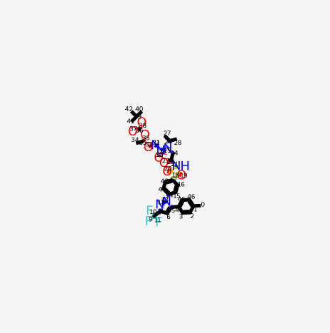 Cc1ccc(-c2cc(C(F)(F)F)nn2-c2ccc(S(=O)(=O)NC(=O)CN(C(C)C)/[N+]([O-])=N/OC(C)OC(=O)OC(C)(C)C)cc2)cc1